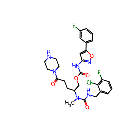 CN(C(=O)NCc1cccc(F)c1Cl)C(CCC(=O)N1CCNCC1)COC(=O)Nc1cc(-c2cccc(F)c2)on1